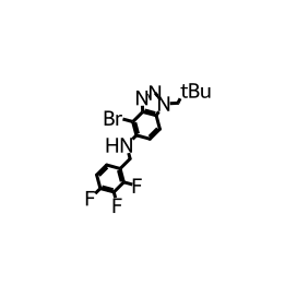 CC(C)(C)Cn1nnc2c(Br)c(NCc3ccc(F)c(F)c3F)ccc21